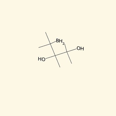 BC(C)(C)C(C)(O)C(C)(C)O